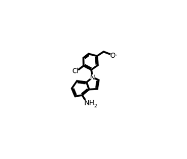 Nc1cccc2c1ccn2-c1cc(C[O])ccc1Cl